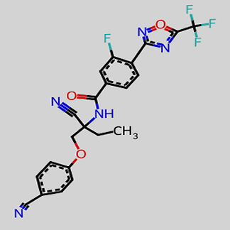 CCC(C#N)(COc1ccc(C#N)cc1)NC(=O)c1ccc(-c2noc(C(F)(F)F)n2)c(F)c1